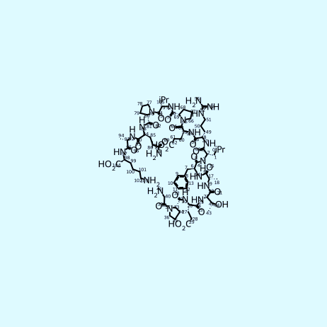 CC(C)C[C@H](NC(=O)[C@H](Cc1ccccc1)NC(=O)[C@H](C)NC(=O)[C@@H](NC(=O)[C@H](CCC(=O)O)NC(=O)[C@@H]1CCCN1C(=O)CN)[C@@H](C)O)C(=O)N[C@@H](CCCNC(=N)N)C(=O)N[C@@H](CCC(=O)O)C(=O)N1CCC[C@H]1C(=O)N[C@H](C(=O)N1CCC[C@H]1C(=O)N[C@@H](CCC(N)=O)C(=O)N[C@@H](C)C(=O)N[C@@H](CCCCN)C(=O)O)C(C)C